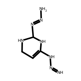 N=NNC1=CCNC(N=NN)N1